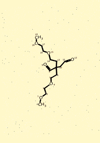 COCCOCCC([C]=O)(CC=O)CCOCCOC